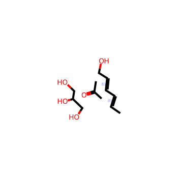 C/C=C/C=C/CO.CC(C)=O.OCC(O)CO